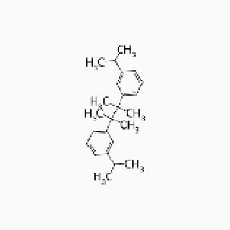 CC(C)c1cccc(C(C)(C)C(C)(C)c2cccc(C(C)C)c2)c1